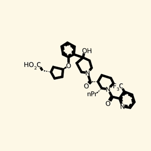 CCC[C@@H]1[C@H](C(=O)N2CCC(O)(c3ccccc3O[C@H]3CC[C@H](CC(=O)O)C3)CC2)CCCN1C(=O)c1ncccc1C(F)(F)F